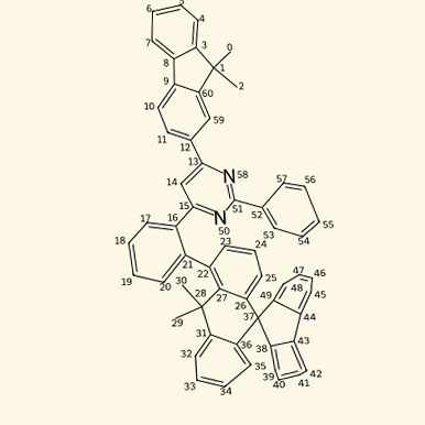 CC1(C)c2ccccc2-c2ccc(-c3cc(-c4ccccc4-c4cccc5c4C(C)(C)c4ccccc4C54c5ccccc5-c5ccccc54)nc(-c4ccccc4)n3)cc21